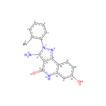 CC(C)c1ccccc1-n1nc2c(c1N)c(=O)[nH]c1cc(O)ccc12